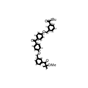 COC(C)(C)C(=O)c1cccc(COc2ccc(C(=O)c3ccc(OCc4cccc(C(=O)C(C)(C)C)c4)cc3)cc2)c1